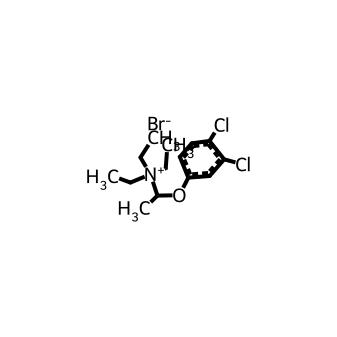 CC[N+](CC)(CC)C(C)Oc1ccc(Cl)c(Cl)c1.[Br-]